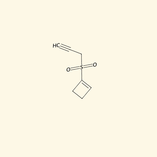 C#CCS(=O)(=O)C1=CCC1